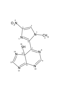 Cn1cc([N+](=O)[O-])nc1C1=NC=NC2=NC=NC21S